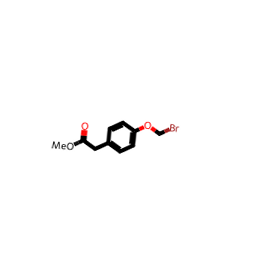 COC(=O)Cc1ccc(OCBr)cc1